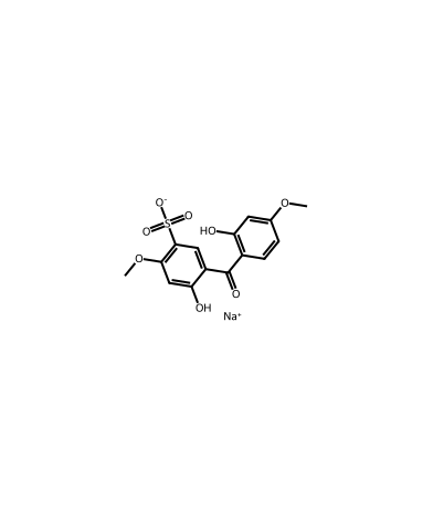 COc1ccc(C(=O)c2cc(S(=O)(=O)[O-])c(OC)cc2O)c(O)c1.[Na+]